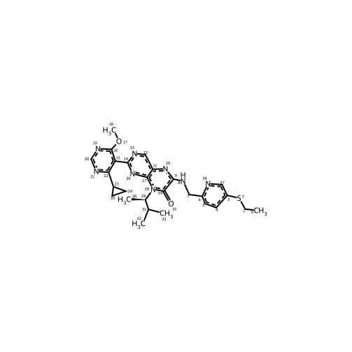 CCSc1ccc(CNc2nc3cnc(-c4c(OC)ncnc4C4CC4)nc3n([C@H](C)C(C)C)c2=O)nc1